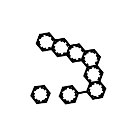 c1ccc(-c2cccc3cc4ccc5cc6cc7ccccc7cc6cc5c4cc23)cc1.c1ccccc1